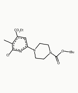 CCOC(=O)c1cc(N2CCN(C(=O)OC(C)(C)C)CC2)nc(Cl)c1C